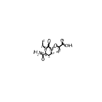 CCN1C(=O)N(OC(F)C(=O)O)CC[C@H]1C(N)=O